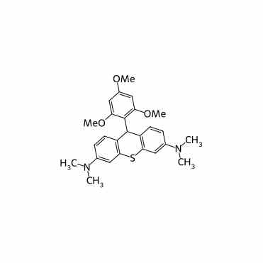 COc1cc(OC)c(C2c3ccc(N(C)C)cc3Sc3cc(N(C)C)ccc32)c(OC)c1